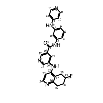 O=C(Nc1cccc(Nc2ccncc2)c1)c1cncc(Nc2ccnc3c2CC(F)CC3)c1